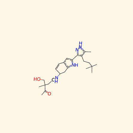 CC(=O)C(C)(CO)CCNC1C=Cc2cc(-c3n[nH]c(C)c3CCC(C)(C)C)[nH]c2C1